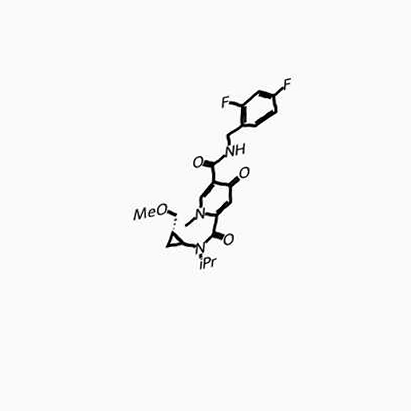 COC[C@H]1CC1N(C(=O)c1cc(=O)c(C(=O)NCc2ccc(F)cc2F)cn1C)C(C)C